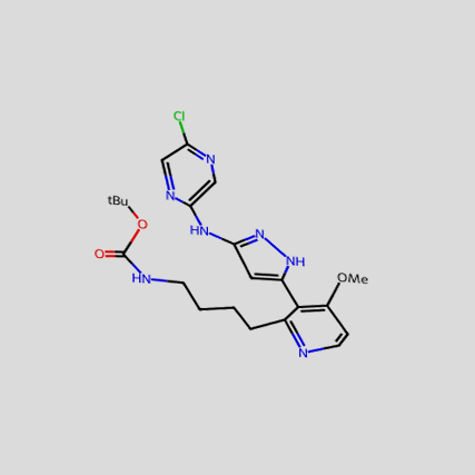 COc1ccnc(CCCCNC(=O)OC(C)(C)C)c1-c1cc(Nc2cnc(Cl)cn2)n[nH]1